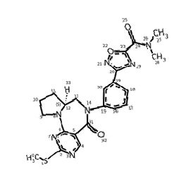 CSc1ncc2c(n1)N1CCC[C@H]1CN(c1cccc(-c3noc(C(=O)N(C)C)n3)c1)C2=O